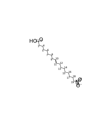 O=C(O)CCCCCCCC=CCCCCCCCC[N+](=O)[O-]